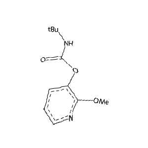 COc1ncccc1OC(=O)NC(C)(C)C